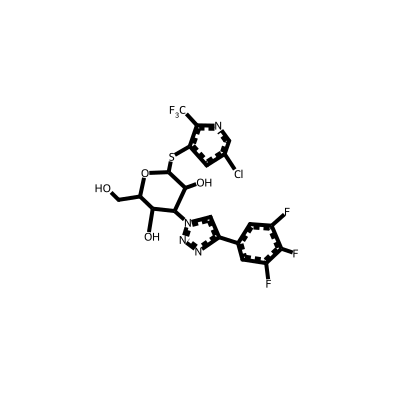 OCC1OC(Sc2cc(Cl)cnc2C(F)(F)F)C(O)C(n2cc(-c3cc(F)c(F)c(F)c3)nn2)C1O